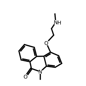 CNCCOc1cccc2c1c1ccccc1c(=O)n2C